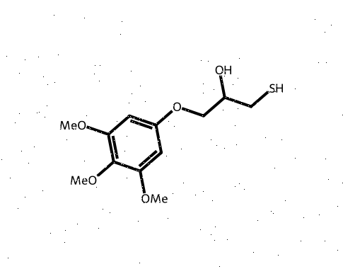 COc1cc(OCC(O)CS)cc(OC)c1OC